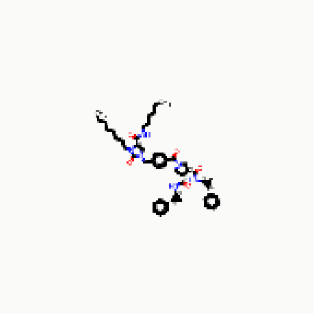 CCCCCCCCN1C(=O)N(Cc2ccc(C(=O)N3C[C@@H](C(=O)N[C@H]4C[C@@H]4c4ccccc4)[C@H](C(=O)N[C@H]4C[C@@H]4c4ccccc4)C3)cc2)C[C@@H]1C(=O)NCCCCCC